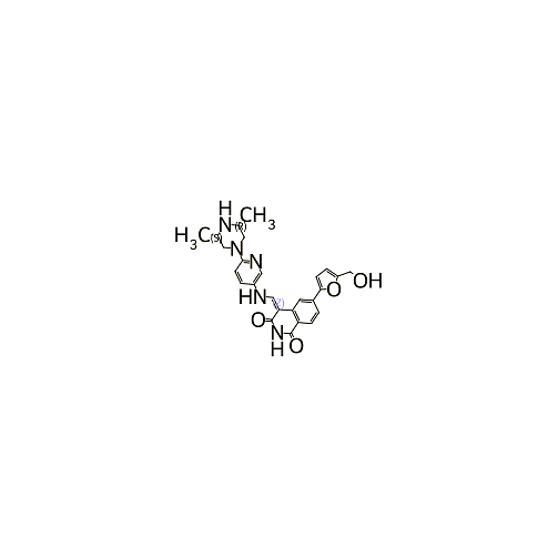 C[C@@H]1CN(c2ccc(N/C=C3\C(=O)NC(=O)c4ccc(-c5ccc(CO)o5)cc43)cn2)C[C@H](C)N1